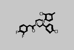 Cc1ccc(N2CCN(C(=O)Cc3ccc(F)c(F)c3)CC2c2ccc(Cl)cc2)c(Cl)c1